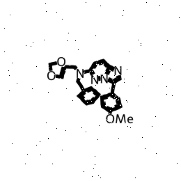 COc1ccc(-c2cnc3ccc(N(CC4=COCO4)Cc4ccccc4)nn23)cc1